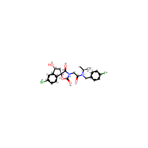 C[C@H](N(Cc1ccc(F)cc1)C(=O)CN1C(=O)O[C@@]2(C[C@H](O)c3cc(Br)ccc32)C1=O)C(F)(F)F